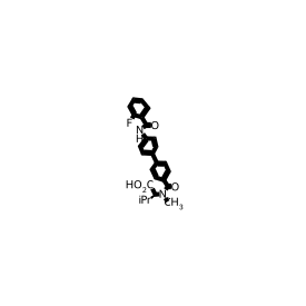 CC(C)[C@@H](C(=O)O)N(C)C(=O)c1ccc(-c2ccc(NC(=O)c3ccccc3F)cc2)cc1